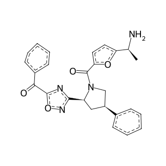 C[C@H](N)c1ccc(C(=O)N2C[C@@H](c3ccccc3)C[C@H]2c2noc(C(=O)c3ccccc3)n2)o1